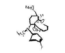 COCC1CCC(N(C)c2ccc(F)cc2)C2(O)CCCO[C@H]12